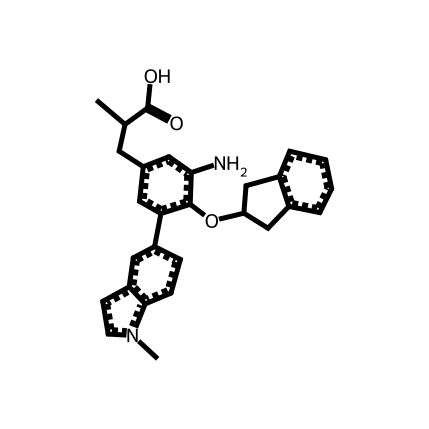 CC(Cc1cc(N)c(OC2Cc3ccccc3C2)c(-c2ccc3c(ccn3C)c2)c1)C(=O)O